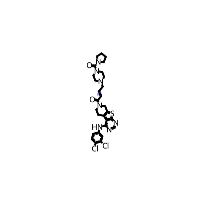 O=C(/C=C/CN1CCN(C(=O)N2CCCC2)CC1)N1CCc2c(sc3ncnc(Nc4ccc(Cl)c(Cl)c4)c23)C1